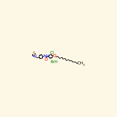 Br.CCCCCCCCCCCCCCOc1ccc(C(=O)Nc2ccc(CN3C=CSC3)cc2)cc1Cl